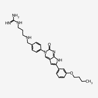 CCCCOc1cccc(-c2cc3cn(-c4ccc(CNCCCNC(=N)N)cc4)c(=O)nc3[nH]2)c1